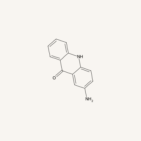 Nc1ccc2[nH]c3ccccc3c(=O)c2c1